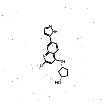 Nc1cc(N[C@@H]2CC[C@H](O)C2)c2ccc(-c3ccn[nH]3)cc2n1